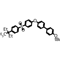 CCC(C)(CC)c1ccc(S(=O)(=O)c2ccc(Oc3ccc(-c4ccc(OC(C)(C)C)cc4)cc3)cc2)cc1